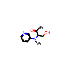 [CH2]CCN(c1cccnc1)C(CO)C(=O)C(C)C